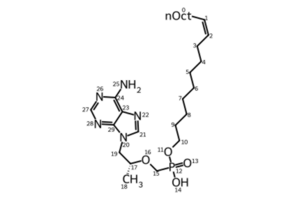 CCCCCCCC/C=C\CCCCCCCCOP(=O)(O)CO[C@H](C)Cn1cnc2c(N)ncnc21